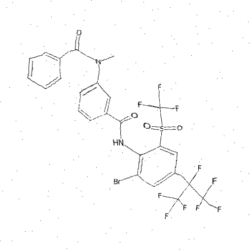 CN(C(=O)c1ccccc1)c1cccc(C(=O)Nc2c(Br)cc(C(F)(C(F)(F)F)C(F)(F)F)cc2S(=O)(=O)C(F)(F)F)c1